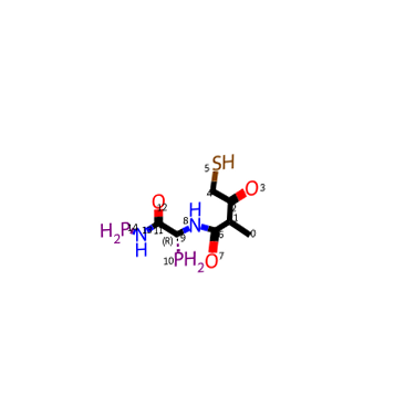 CC(C(=O)CS)C(=O)N[C@H](P)C(=O)NP